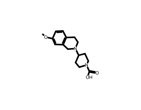 COc1ccc2c(c1)CN(C1CCN(C(=O)O)CC1)CC2